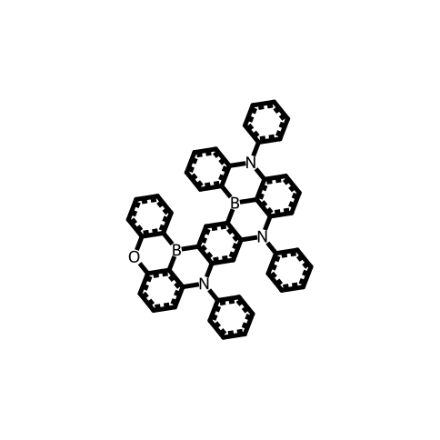 c1ccc(N2c3cc4c(cc3B3c5ccccc5Oc5cccc2c53)B2c3ccccc3N(c3ccccc3)c3cccc(c32)N4c2ccccc2)cc1